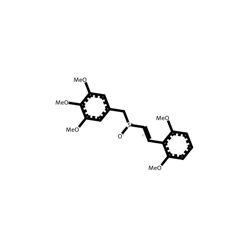 COc1cccc(OC)c1/C=C/[S+]([O-])Cc1cc(OC)c(OC)c(OC)c1